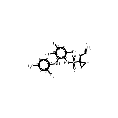 C=CCC1(S(=O)(=O)Nc2c(F)cc(F)c(F)c2Nc2ccc(C)cc2F)CC1